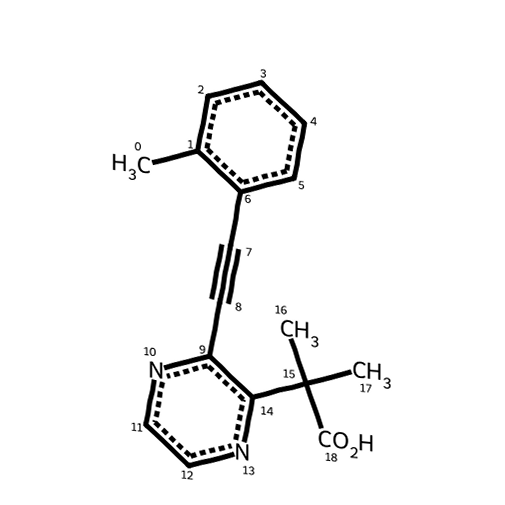 Cc1ccccc1C#Cc1nccnc1C(C)(C)C(=O)O